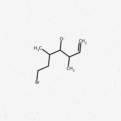 C=CC(C)C([O])C(C)CCBr